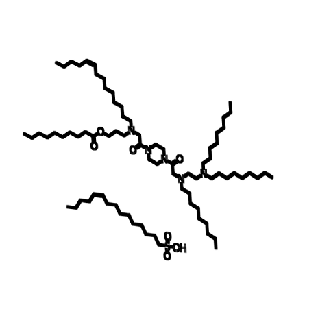 CCCC/C=C\CCCCCCCCCS(=O)(=O)O.CCCC/C=C\CCCCCCCCN(CCCOC(=O)CCCCCCCCC)CC(=O)N1CCN(C(=O)CN(CCCCCCCCC)CCN(CCCCCCCCC)CCCCCCCCC)CC1